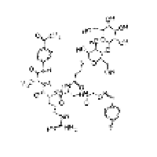 CC(=O)c1ccc(NC(=O)[C@@H](C)NC(=O)[C@@H](CCCNC(=N)N)NC(=O)[C@@H](CNC(=O)CO/N=C\c2ccc(F)cc2)NC(=O)CCS[C@H]2OC(CO)[C@@H](O[C@@H]3OC(CO)[C@@H](O)C(O)C3O)C(O)C2O)cc1